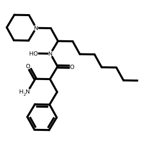 CCCCCCCC(CN1CCCCC1)N(O)C(=O)C(Cc1ccccc1)C(N)=O